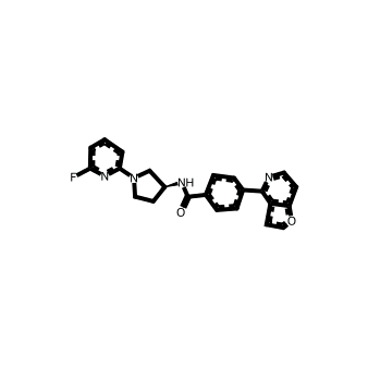 O=C(N[C@H]1CCN(c2cccc(F)n2)C1)c1ccc(-c2nccc3occc23)cc1